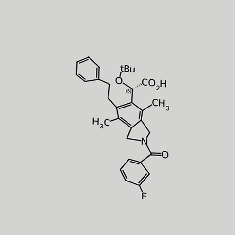 Cc1c2c(c(C)c([C@H](OC(C)(C)C)C(=O)O)c1CCc1ccccc1)CN(C(=O)c1cccc(F)c1)C2